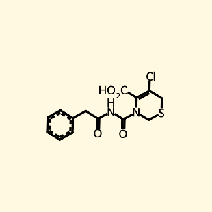 O=C(Cc1ccccc1)NC(=O)N1CSCC(Cl)=C1C(=O)O